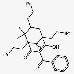 CC(C)CCC1CC2(CCC(C)C)C(=O)C(CCC(C)C)(C(=O)C(C(=O)c3ccccc3)=C2O)C1(C)C